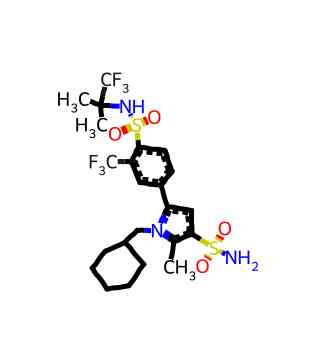 Cc1c(S(N)(=O)=O)cc(-c2ccc(S(=O)(=O)NC(C)(C)C(F)(F)F)c(C(F)(F)F)c2)n1CC1CCCCC1